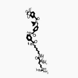 N=C(N)NCCC[C@H](N)C(=O)NCCCCCCNC(=O)c1cccc(NC(=O)c2ccc(CN(C(=O)c3ccc4c(c3)OCC(=O)N4)C3CC3)cc2)c1